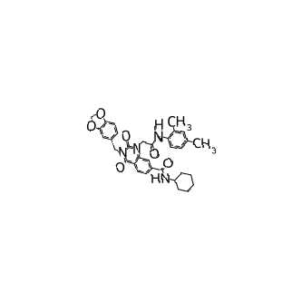 Cc1ccc(NC(=O)Cn2c(=O)n(Cc3ccc4c(c3)OCO4)c(=O)c3ccc(C(=O)NC4CCCCC4)cc32)c(C)c1